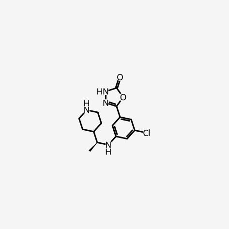 C[C@H](Nc1cc(Cl)cc(-c2n[nH]c(=O)o2)c1)C1CCNCC1